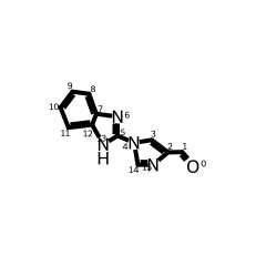 O=Cc1cn(-c2nc3ccccc3[nH]2)cn1